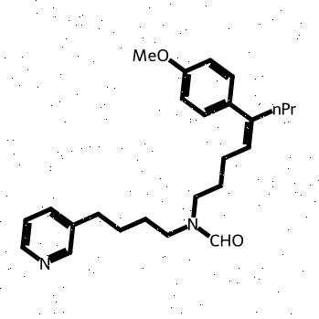 CCC/C(=C/CCCN(C=O)CCCCc1cccnc1)c1ccc(OC)cc1